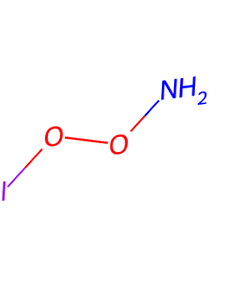 NOOI